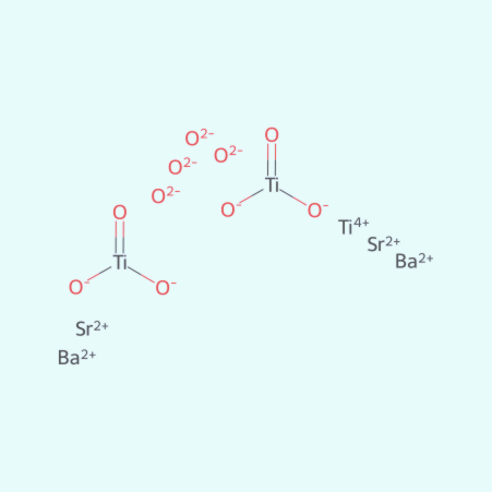 [Ba+2].[Ba+2].[O-2].[O-2].[O-2].[O-2].[O]=[Ti]([O-])[O-].[O]=[Ti]([O-])[O-].[Sr+2].[Sr+2].[Ti+4]